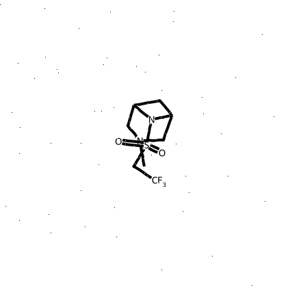 CN1CC2CC(C1)N2S(=O)(=O)CC(F)(F)F